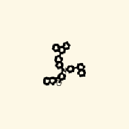 c1ccc2cc3c(cc2c1)oc1ccc(N(c2ccc(-c4cccc5ccccc45)cc2)c2ccc4ccc(-c5cc6ccccc6c6ccccc56)cc4c2)cc13